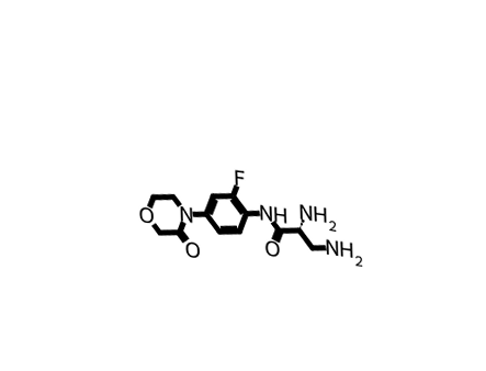 NC[C@@H](N)C(=O)Nc1ccc(N2CCOCC2=O)cc1F